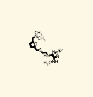 CNc1n[s+]([O-])nc1NCCSCc1ccc(CN(C)C)o1